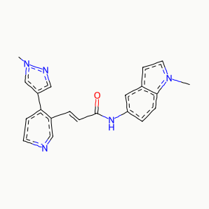 Cn1cc(-c2ccncc2C=CC(=O)Nc2ccc3c(ccn3C)c2)cn1